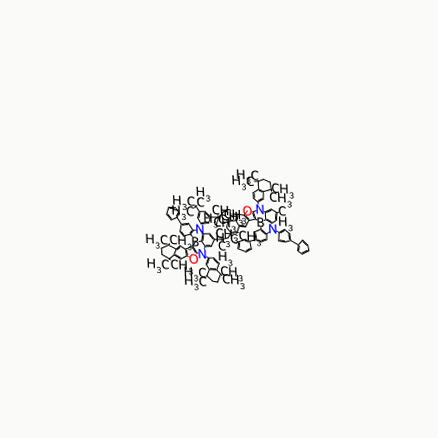 Cc1cc2c3c(c1)N(c1ccc4c(c1)C(C)(C)CCC4(C)C)c1oc4cc5c(cc4c1B3c1cc(-c3ccccc3)ccc1N2c1ccc(-c2ccccc2)cc1)C(C)(C)C(CC(C)(C)c1cc2c3c(c1)N(c1ccc4c(c1)C(C)(C)CCC4(C)C)c1oc4cc6c(cc4c1B3c1ccc(-c3ccccc3)cc1N2c1cc(C(C)(C)C)cc(C(C)(C)C)c1)C(C)(C)CCC6(C)C)CC5(C)C